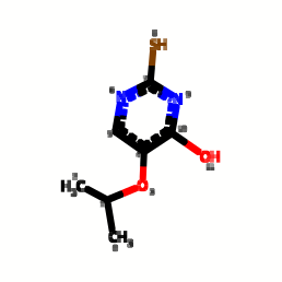 CC(C)Oc1cnc(S)nc1O